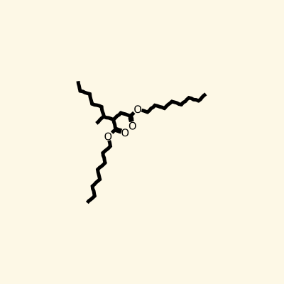 CCCCCCCCOC(=O)CC(C(=O)OCCCCCCCC)C(C)CCCCC